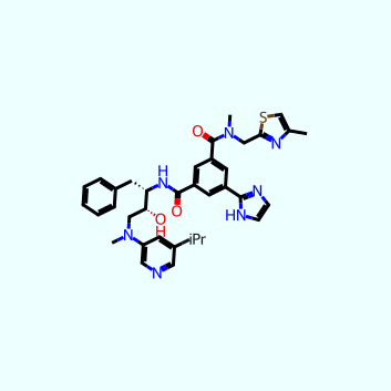 Cc1csc(CN(C)C(=O)c2cc(C(=O)N[C@@H](Cc3ccccc3)[C@H](O)CN(C)c3cncc(C(C)C)c3)cc(-c3ncc[nH]3)c2)n1